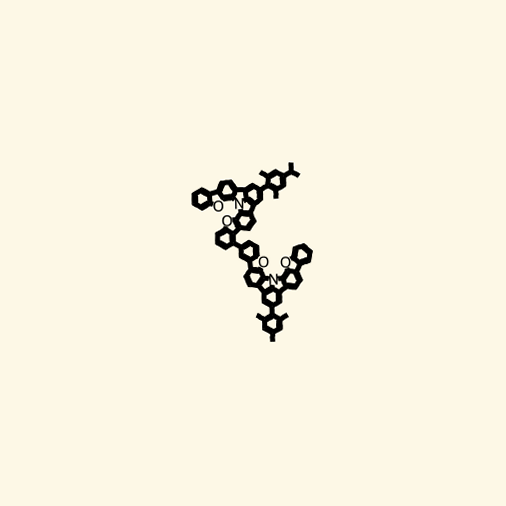 Cc1cc(C)c(-c2cc3c4ccc5c6ccccc6oc5c4n4c3c(c2)c2ccc3c5cc(-c6cccc7oc8c(ccc9c%10cc(-c%11c(C)cc(C(C)C)cc%11C)cc%11c%12ccc%13c%14ccccc%14oc%13c%12n(c%11%10)c98)c67)ccc5oc3c24)c(C)c1